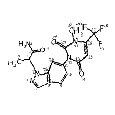 CC(C(N)=O)n1ncc2ccc(-n3c(=O)cc(C(F)(F)F)n(C)c3=O)cc21